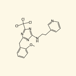 COc1ccccc1Cc1nc(NCCc2cccnc2)nc(C(Cl)(Cl)Cl)n1